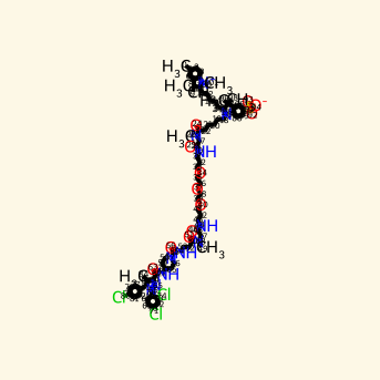 Cc1ccc2c(c1)C(C)(C)C(CCCCCC1N(CCCCCC(=O)N(C)CC(=O)NCCCOCCOCCOCCCNC(=O)CN(C)C(=O)CCNC(=O)N3CCC(NC(=O)c4nn(-c5ccc(Cl)cc5Cl)c(-c5ccc(Cl)cc5)c4C)CC3)c3ccc(S(=O)(=O)[O-])cc3C1(C)C)=[N+]2C